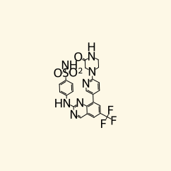 NS(=O)(=O)c1ccc(Nc2ncc3cc(C(F)(F)F)cc(-c4ccc(N5CCNC(=O)C5)nc4)c3n2)cc1